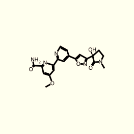 COc1cc(C(N)=O)nc(-c2cc(-c3cc([C@]4(O)CCN(C)C4=O)no3)ccn2)c1